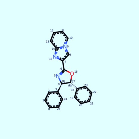 c1ccc([C@H]2N=C(c3cn4ccccc4n3)O[C@@H]2c2ccccc2)cc1